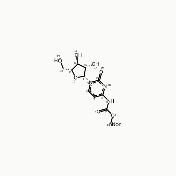 CCCCCCCCCOC(=O)Nc1ccn([C@@H]2O[C@H](CO)[C@@H](O)[C@@H]2O)c(=O)n1